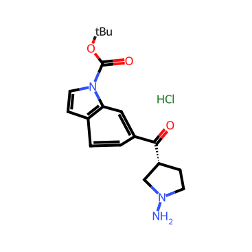 CC(C)(C)OC(=O)n1ccc2ccc(C(=O)[C@@H]3CCN(N)C3)cc21.Cl